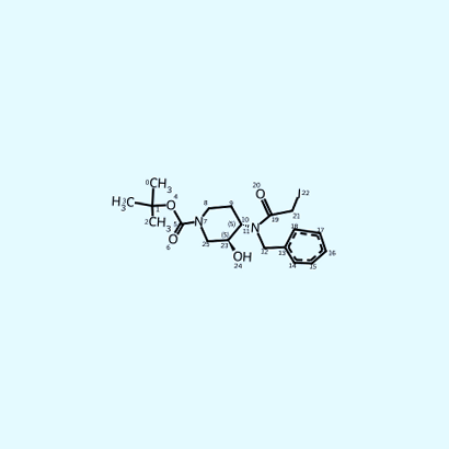 CC(C)(C)OC(=O)N1CC[C@H](N(Cc2ccccc2)C(=O)CI)[C@@H](O)C1